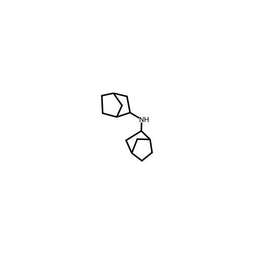 C1CC2CC1CC2NC1CC2CCC1C2